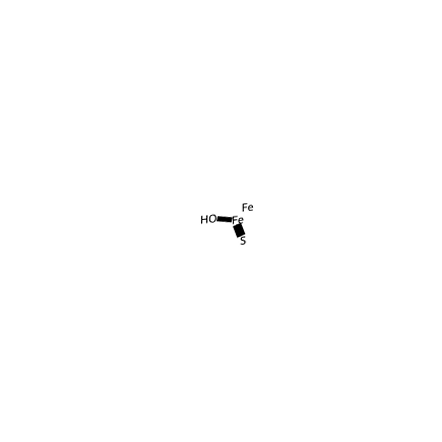 [Fe].[OH][Fe]=[S]